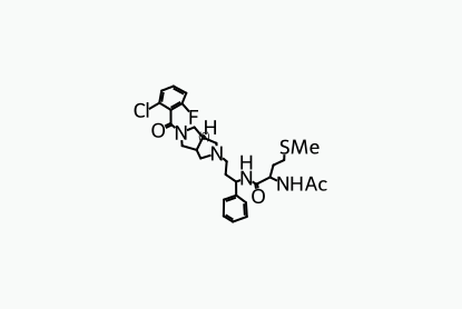 CSCCC(NC(C)=O)C(=O)NC(CCN1CC2CN(C(=O)c3c(F)cccc3Cl)C[C@@H]2C1)c1ccccc1